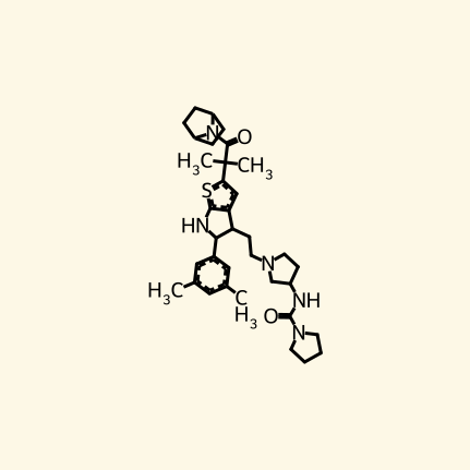 Cc1cc(C)cc(C2Nc3sc(C(C)(C)C(=O)N4C5CCC4CC5)cc3C2CCN2CCC(NC(=O)N3CCCC3)C2)c1